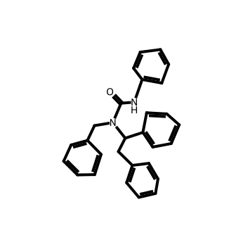 O=C(Nc1ccccc1)N(Cc1ccccc1)C(Cc1ccccc1)c1ccccc1